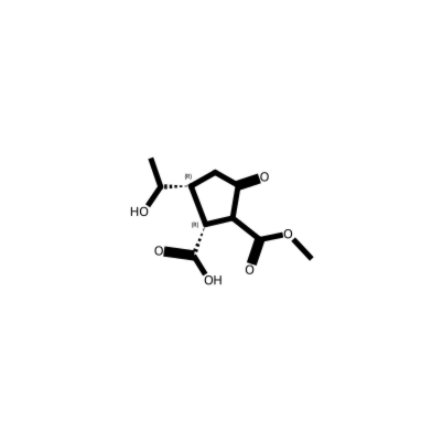 COC(=O)C1C(=O)C[C@@H](C(C)O)[C@H]1C(=O)O